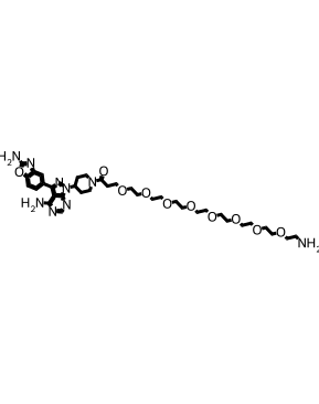 NCCOCCOCCOCCOCCOCCOCCOCCOCCC(=O)N1CCC(n2nc(-c3ccc4oc(N)nc4c3)c3c(N)ncnc32)CC1